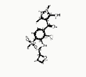 Cc1nn(C)c(O)c1C(=O)c1ccc(S(C)(=O)=O)c(OCC2CCO2)c1Cl